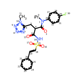 CC(C)N(C(=O)C(Cc1nnnn1C)C(=O)NS(=O)(=O)/C=C/c1ccccc1)c1ccc(F)cc1